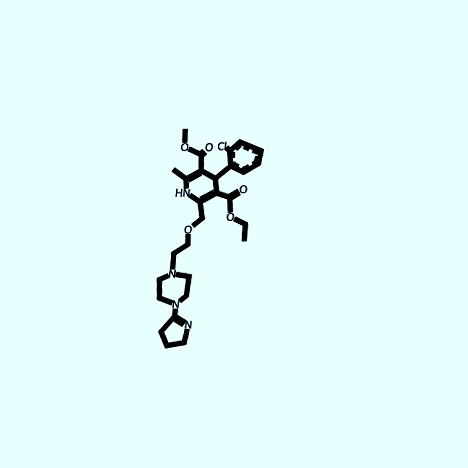 CCOC(=O)C1=C(COCCN2CCN(C3=NCCC3)CC2)NC(C)=C(C(=O)OC)C1c1ccccc1Cl